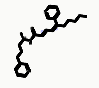 CCCCC/C(=C/C=C/C(=O)N[C@H](C)CCCc1cccnc1)c1cccnc1